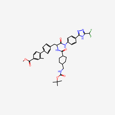 COC(=O)c1ccc(-c2ccc(CC(NC(=O)C3CCC(CNC(=O)OC(C)(C)C)CC3)C(=O)Nc3ccc(-c4nnc(C(F)F)[nH]4)cc3)cc2)c(C)c1